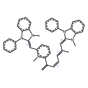 C=C(\C=C/C=C(C)/C=C1\N(C)c2ccccc2N1c1ccccc1)c1cccc(/C=C2\N(C)c3ccccc3N2c2ccccc2)[n+]1C